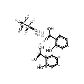 O=C(O)c1ccccc1O.O=C(O)c1ccccc1O.O=S(=O)([O-])S(=O)(=O)[O-].[Li+].[Li+]